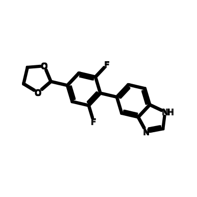 Fc1cc(C2OCCO2)cc(F)c1-c1ccc2[nH]cnc2c1